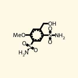 COc1cc(CO)c(S(N)(=O)=O)cc1S(N)(=O)=O